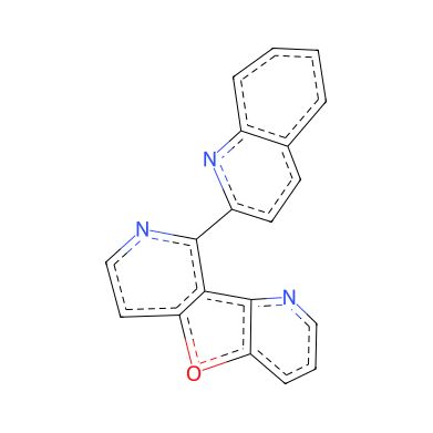 c1ccc2nc(-c3nccc4oc5cccnc5c34)ccc2c1